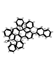 O=P(c1ccccc1)(c1ccccc1)c1c2ccccc2c2c3c(cccc13)C(c1ccccc1)(c1ccccc1)c1cc(-c3ccc4ccccc4c3)ccc1-2